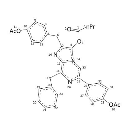 CCCC(=O)Oc1c(Cc2ccc(OC(C)=O)cc2)nc2c(Cc3ccccc3)nc(-c3ccc(OC(C)=O)cc3)cn12